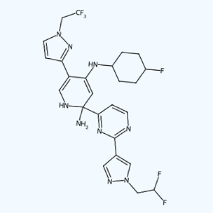 NC1(c2ccnc(-c3cnn(CC(F)F)c3)n2)C=C(NC2CCC(F)CC2)C(c2ccn(CC(F)(F)F)n2)=CN1